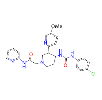 COc1ccc(C2CN(CC(=O)Nc3ccccn3)CCC2NC(=O)Nc2ccc(Cl)cc2)nc1